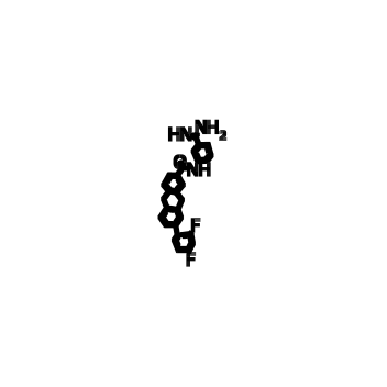 N=C(N)c1cccc(NC(=O)c2ccc3c(c2)Cc2cc(-c4ccc(F)cc4F)ccc2C3)c1